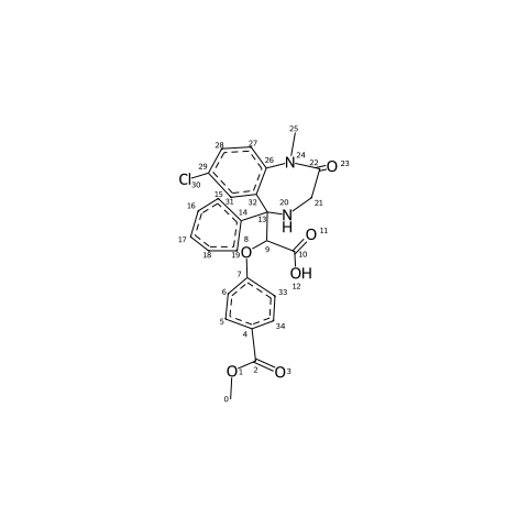 COC(=O)c1ccc(OC(C(=O)O)C2(c3ccccc3)NCC(=O)N(C)c3ccc(Cl)cc32)cc1